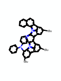 CC(C)(C)c1cc(N(c2ccccc2)c2ccccc2)c2c(c1)c1cc(C(C)(C)C)cc3c4c5c6cc(C(C)(C)C)cc7c8ccc9ccccc9c8n(c5ncc4n2c13)c76